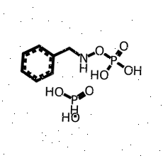 O=P(O)(O)ONCc1ccccc1.O=[PH](O)O